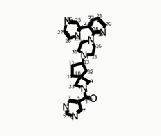 O=C(c1cncnc1)N1CC2(CC[C@@H](N3CCN(c4ncccc4-c4cnccn4)CC3)C2)C1